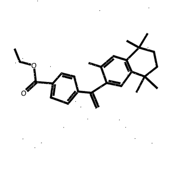 C=C(c1ccc(C(=O)OCC)cc1)c1cc2c(cc1C)C(C)(C)CCC2(C)C